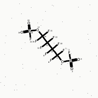 O=S(=O)(F)OC(F)(F)C(F)(F)C(F)(F)C(F)(F)OS(=O)(=O)F